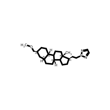 COC[C@H]1CC[C@@H]2C3CC[C@@]4(C)C(CC[C@@H]4CCn4nccn4)[C@@H]3CC[C@@H]2C1